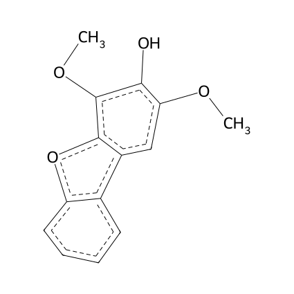 COc1cc2c(oc3ccccc32)c(OC)c1O